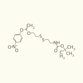 C=C(OCCSSCCNC(=O)OC(C)(C)C)Oc1ccc([N+](=O)[O-])cc1